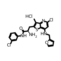 Cc1c(C[C@@H](N)C(=O)Nc2cccc(Cl)c2)sc2c(NCc3ccco3)cc(Cl)nc12.Cl